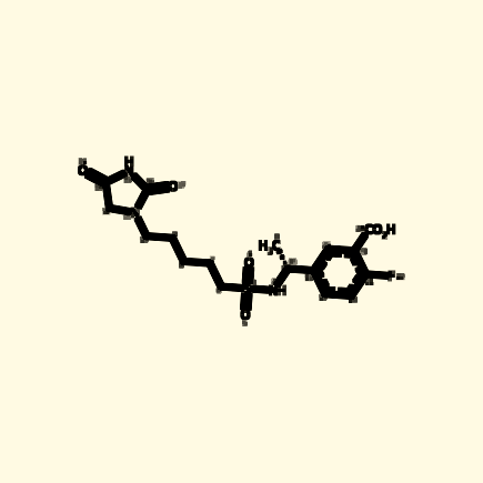 C[C@@H](NS(=O)(=O)CCCCCN1CC(=O)NC1=O)c1ccc(F)c(C(=O)O)c1